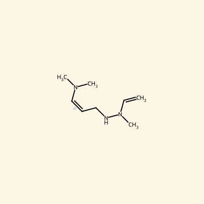 C=CN(C)NC/C=C\N(C)C